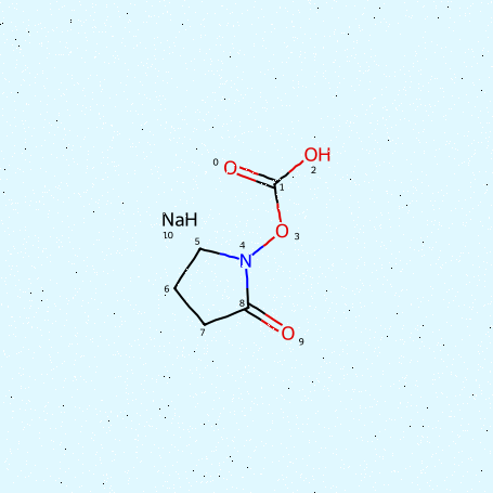 O=C(O)ON1CCCC1=O.[NaH]